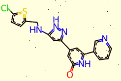 O=c1cc(-c2cc(NCc3ccc(Cl)s3)[nH]n2)cc(-c2cccnc2)[nH]1